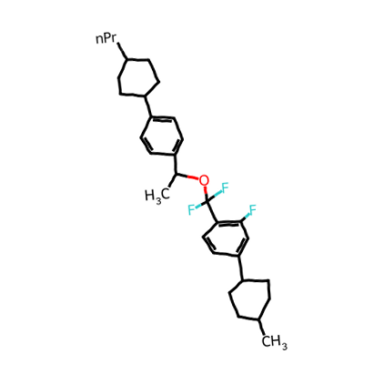 CCCC1CCC(c2ccc(C(C)OC(F)(F)c3ccc(C4CCC(C)CC4)cc3F)cc2)CC1